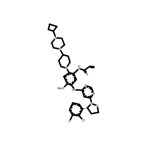 C=CC(=O)Nc1cc(Nc2cc(N3OCC[C@@H]3c3cccc(F)c3Cl)ncn2)c(OC)cc1N1CCC(N2CCN(C3CCC3)CC2)CC1